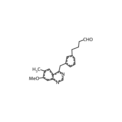 COc1cc2ncnc(Cc3cccc(CCCC=O)c3)c2cc1C